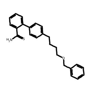 NC(=S)c1ccccc1-c1ccc(CCCCOCc2ccccc2)cc1